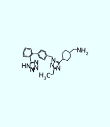 CCc1nc(C2CCC(CN)CC2)n(Cc2ccc(-c3ccccc3-c3nnn[nH]3)cc2)n1